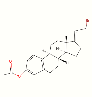 CC(=O)Oc1ccc2c(c1)CC[C@@H]1[C@@H]2CC[C@]2(C)/C(=C/CBr)CC[C@@H]12